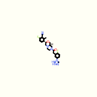 Cc1c([C@@H]2CN3CCN(C(=O)Cc4cc(N5C=NNN5)ccc4F)C[C@@H]3CO2)ccc(F)c1C#N